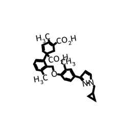 CC1=C(C(=O)O)CC(C(=O)O)(c2cccc(C)c2COc2ccc(-c3ccn(CC4CC4)n3)cc2C)C=C1